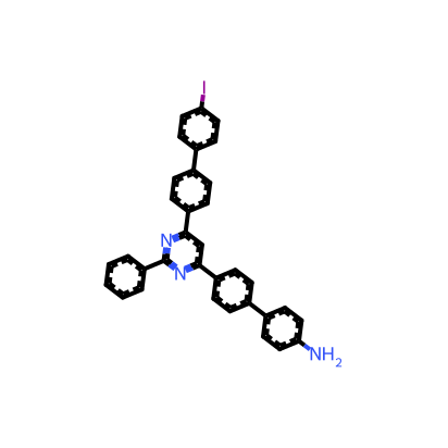 Nc1ccc(-c2ccc(-c3cc(-c4ccc(-c5ccc(I)cc5)cc4)nc(-c4ccccc4)n3)cc2)cc1